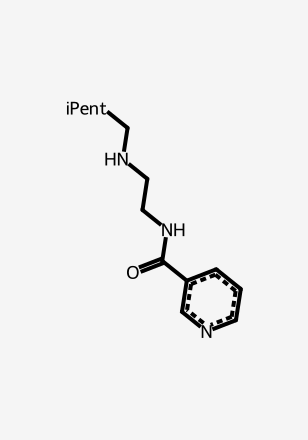 CCCC(C)CNCCNC(=O)c1cccnc1